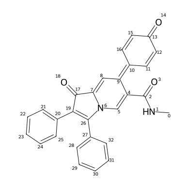 CNC(=O)C1=CN2C(=CC1=C1C=CC(=O)C=C1)C(=O)C(c1ccccc1)=C2c1ccccc1